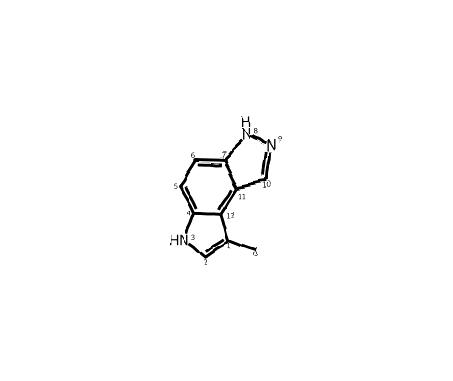 Cc1c[nH]c2ccc3[nH]ncc3c12